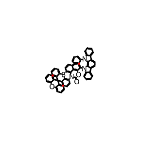 O=C1Oc2c(-n3c4ccccc4c4ccc5c6ccccc6n(-c6ccccc6)c5c43)ccc3ccc4c(c23)N1c1cccc2c1B4c1ccccc1C21c2ccccc2Oc2ccccc21